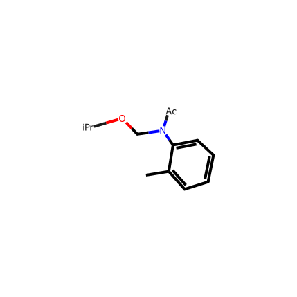 CC(=O)N(COC(C)C)c1ccccc1C